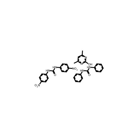 Cc1cc(C)nc(O)n1.O=C(Nc1ccc([N+](=O)[O-])cc1)Nc1ccc([N+](=O)[O-])cc1.O=C(Nc1ccccc1)Nc1ccccc1